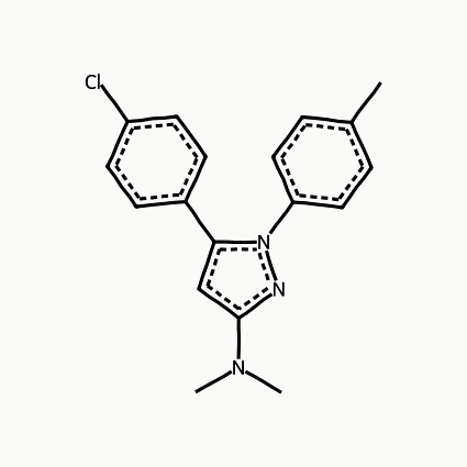 Cc1ccc(-n2nc(N(C)C)cc2-c2ccc(Cl)cc2)cc1